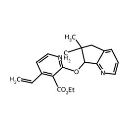 C=Cc1ccnc(OC2c3ncccc3CC2(C)C)c1C(=O)OCC